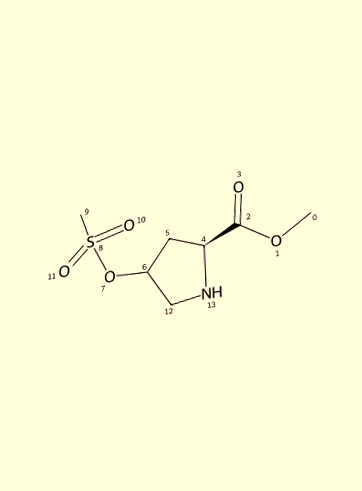 COC(=O)[C@@H]1CC(OS(C)(=O)=O)CN1